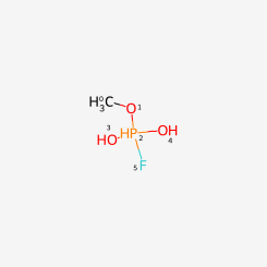 CO[PH](O)(O)F